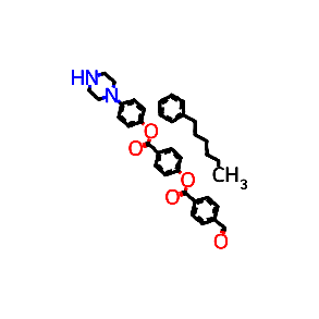 CCCCCCc1ccccc1.O=Cc1ccc(C(=O)Oc2ccc(C(=O)Oc3ccc(N4CCNCC4)cc3)cc2)cc1